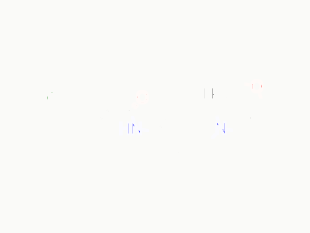 O=C(Nc1ccc(CN2C[C@@H]3COC[C@@H](C3)C2)cc1)c1ccc(Cl)cc1